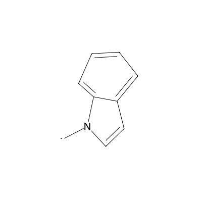 [CH2]n1ccc2ccccc21